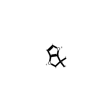 CC1(C)COc2ccoc21